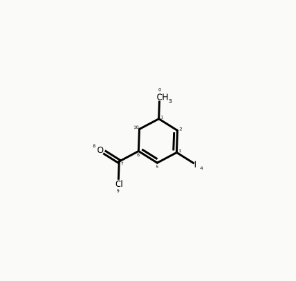 CC1C=C(I)C=C(C(=O)Cl)C1